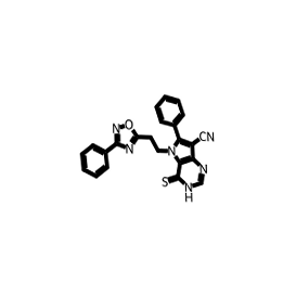 N#Cc1c(-c2ccccc2)n(CCc2nc(-c3ccccc3)no2)c2c(=S)[nH]cnc12